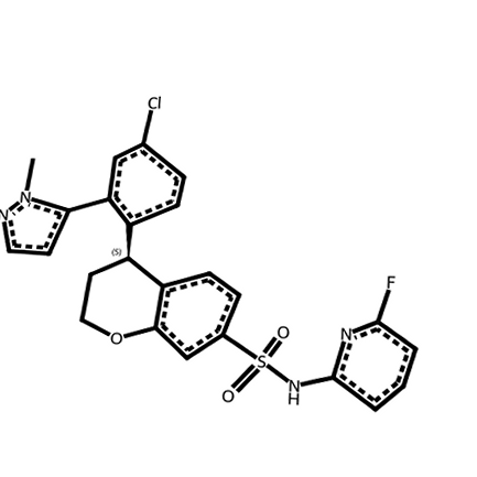 Cn1nccc1-c1cc(Cl)ccc1[C@@H]1CCOc2cc(S(=O)(=O)Nc3cccc(F)n3)ccc21